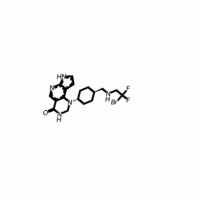 O=C1NCN([C@H]2CC[C@H](CNCC(F)(F)Br)CC2)c2c1cnc1[nH]ccc21